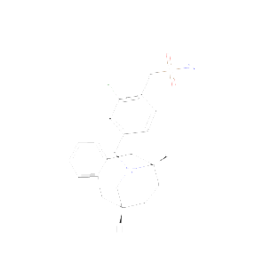 NS(=O)(=O)Cc1ccc(CN2C[C@@H]3CC[C@H]2Cc2ccccc2C3)cc1Cl